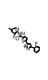 Cc1cnc(NC(=O)c2ccc(-c3cc(-c4ccccc4F)nn3C)s2)c(F)c1